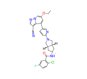 CCOc1cc(-c2ccc(N3C[C@@H]4C[C@@](C)(NC(=O)c5cc(F)ccc5Cl)C[C@@H]4C3)nc2)c2c(C#N)cnn2c1